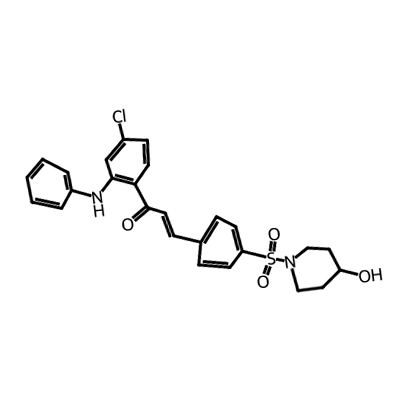 O=C(C=Cc1ccc(S(=O)(=O)N2CCC(O)CC2)cc1)c1ccc(Cl)cc1Nc1ccccc1